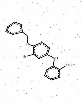 CCOC(=O)c1ccccc1Nc1cnc(OCc2ccccc2)c(Br)c1